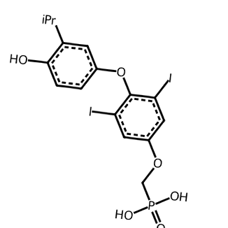 CC(C)c1cc(Oc2c(I)cc(OCP(=O)(O)O)cc2I)ccc1O